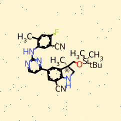 Cc1cc(F)c(C#N)cc1Nc1nccc(-c2cc(C#N)c3c(c2)[C@@](C)(CO[Si](C)(C)C(C)(C)C)CN3)n1